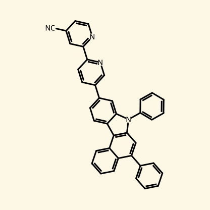 N#Cc1ccnc(-c2ccc(-c3ccc4c5c6ccccc6c(-c6ccccc6)cc5n(-c5ccccc5)c4c3)cn2)c1